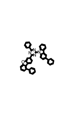 c1ccc(-c2ccc3c(c2)c2ccccc2n3-c2nc(-c3ccccc3)nc(-c3ccc4c(c3)oc3cccc(-c5ccccc5)c34)n2)cc1